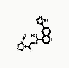 N#C[C@@H]1CSCN1C(=O)CNC(O)c1ccnc2ccc(-c3ccn[nH]3)cc12